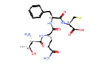 C[C@@H](O)[C@H](N)C(=O)N[C@@H](CCC(N)=O)C(=O)N[C@@H](Cc1ccccc1)C(=O)N[C@@H](CS)C(=O)O